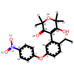 CCc1ccc(Oc2ccc([N+](=O)[O-])cc2)cc1C1=C(O)C(C)(C)OC(C)(C)C1=O